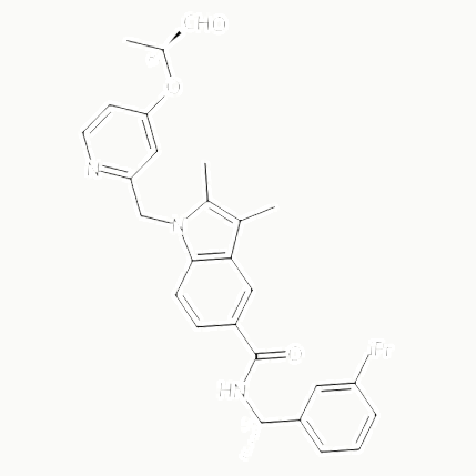 Cc1c(C)n(Cc2cc(O[C@@H](C)C=O)ccn2)c2ccc(C(=O)N[C@@H](C)c3cccc(C(C)C)c3)cc12